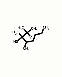 CCCCC(C)C(C)(S)C(C)(C)C